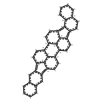 c1ccc2cc3c(cc2c1)=c1ccc2c4ccc5c6c(ccc(c7ccc=3c1c27)c64)=c1c=5ccc2ccccc12